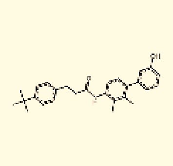 Cc1c(NC(=O)CCc2ccc(C(C)(C)C)cc2)ccc(-c2cccc(O)c2)c1C